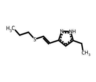 CCCSC=Cc1cc(CC)[nH]n1